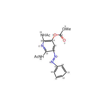 COC(=O)Oc1cc(/N=N/c2ccccc2)c(NC(C)=O)nc1NC(C)=O